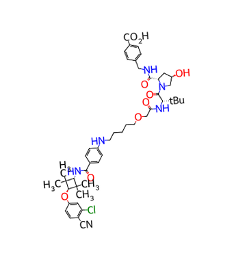 CC(C)(C)[C@H](NC(=O)COCCCCCNc1ccc(C(=O)N[C@H]2C(C)(C)[C@H](Oc3ccc(C#N)c(Cl)c3)C2(C)C)cc1)C(=O)N1C[C@H](O)C[C@H]1C(=O)NCc1ccc(C(=O)O)cc1